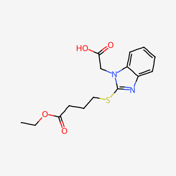 CCOC(=O)CCCSc1nc2ccccc2n1CC(=O)O